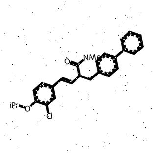 CNC(=O)C(C=Cc1ccc(OC(C)C)c(Cl)c1)Cc1ccc(-c2ccccc2)cc1